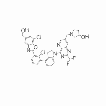 OCc1cc(Cl)c2oc(-c3cccc(-c4cccc5c4CCN5c4nc(C(F)F)nc5cc(CN6CC[C@@H](O)C6)cnc45)c3Cl)nc2c1